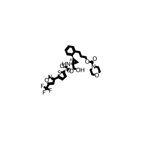 O=C(OCCCc1ccccc1[C@H]1C[C@@]1(NS(=O)(=O)c1ccc(-c2cc(C(F)(F)F)on2)s1)C(=O)O)N1CCOCC1